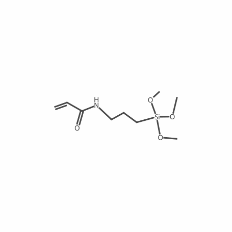 C=CC(=O)NCCC[Si](OC)(OC)OC